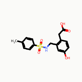 Cc1ccc(S(=O)(=O)NCc2cc(O)ccc2CC(=O)O)cc1